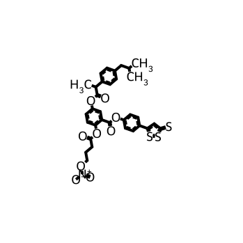 CC(C)Cc1ccc(C(C)C(=O)Oc2ccc(OC(=O)CCCO[N+](=O)[O-])c(C(=O)Oc3ccc(-c4cc(=S)ss4)cc3)c2)cc1